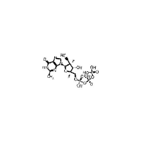 C#C[C@]1(F)[C@H](n2cnc3c(=O)[nH]c(C)nc32)O[C@](F)(COP(=O)(O)OP(=O)(O)OP(=O)(O)O)[C@H]1O